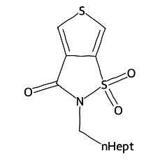 CCCCCCCCN1C(=O)c2cscc2S1(=O)=O